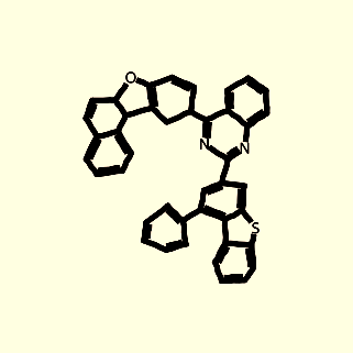 C1=CC(c2nc(-c3cc(-c4ccccc4)c4c(c3)sc3ccccc34)nc3ccccc23)CC2=C1OC1C=Cc3ccccc3C21